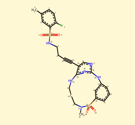 Cc1ccc(F)c(S(=O)(=O)NCCC#Cc2cnc3nc2NCCCN(C)S(=O)(=O)c2cccc(c2)N3)c1